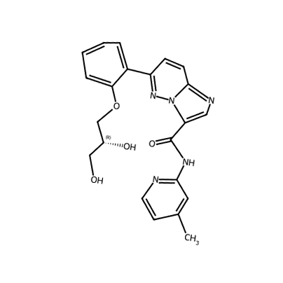 Cc1ccnc(NC(=O)c2cnc3ccc(-c4ccccc4OC[C@H](O)CO)nn23)c1